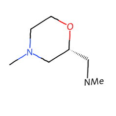 CNC[C@@H]1CN(C)CCO1